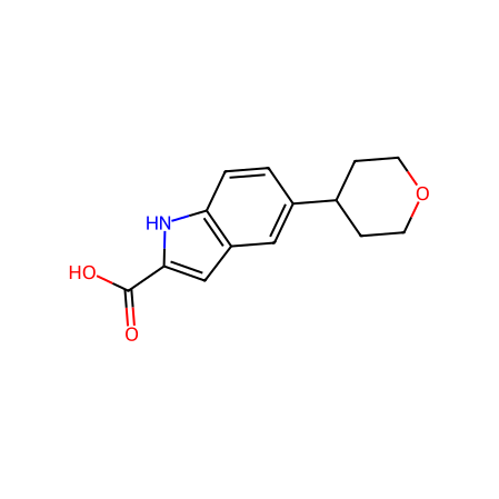 O=C(O)c1cc2cc(C3CCOCC3)ccc2[nH]1